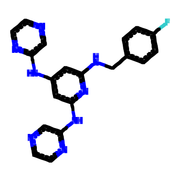 Fc1ccc(CNc2cc(Nc3cnccn3)cc(Nc3cnccn3)n2)cc1